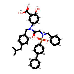 CC(C)Cc1ccc(CN(C(=O)CN(Cc2ccccc2)S(=O)(=O)c2ccc(-c3ccccc3)cc2)c2ccc(O)c(C(=O)O)c2)cc1